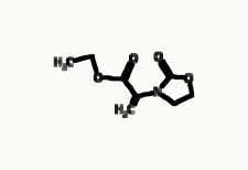 C=C(C(=O)OCC)N1CCOC1=O